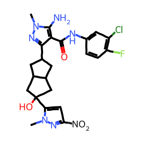 Cn1nc([N+](=O)[O-])cc1C1(O)CC2CC(c3nn(C)c(N)c3C(=O)Nc3ccc(F)c(Cl)c3)CC2C1